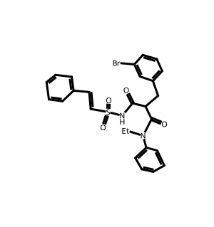 CCN(C(=O)C(Cc1cccc(Br)c1)C(=O)NS(=O)(=O)C=Cc1ccccc1)c1ccccc1